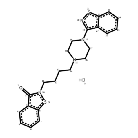 Cl.O=c1c2ccccc2sn1CCCCN1CCN(c2nsc3ccccc23)CC1